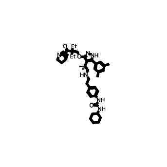 CCC(CC)(COc1n[nH]c(-c2cc(C)cc(C)c2)c1[C@H](C)CNCCc1ccc(NC(=O)NC2CCCCC2)cc1)C(=O)C1C2CCN1CC2